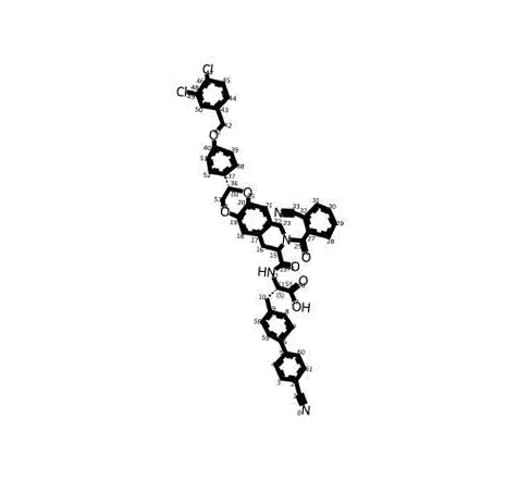 N#Cc1ccc(-c2ccc(C[C@H](NC(=O)C3Cc4cc5c(cc4CN3C(=O)c3ccccc3C#N)O[C@@H](c3ccc(OCc4ccc(Cl)c(Cl)c4)cc3)CO5)C(=O)O)cc2)cc1